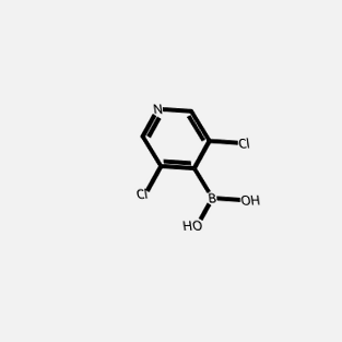 OB(O)c1c(Cl)cncc1Cl